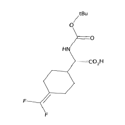 CC(C)(C)OC(=O)N[C@H](C(=O)O)C1CCC(=C(F)F)CC1